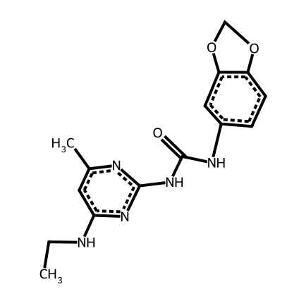 CCNc1cc(C)nc(NC(=O)Nc2ccc3c(c2)OCO3)n1